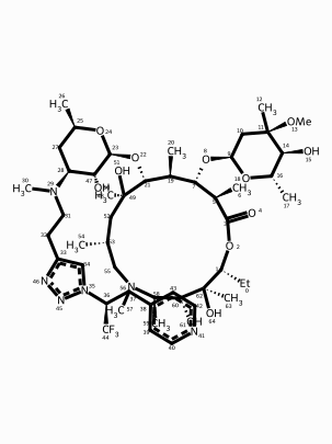 CC[C@H]1OC(=O)[C@H](C)[C@@H](O[C@H]2C[C@@](C)(OC)[C@@H](O)[C@H](C)O2)[C@H](C)[C@@H](O[C@@H]2O[C@H](C)C[C@H](N(C)CCc3cn([C@@H](Cc4ccncc4)C(F)(F)F)nn3)[C@H]2O)[C@](C)(O)C[C@@H](C)CN(C)[C@H](C)[C@@H](O)[C@]1(C)O